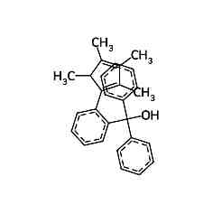 CC1=C(C)C(C)C(c2ccccc2C(O)(c2ccccc2)c2ccccc2)=C1C